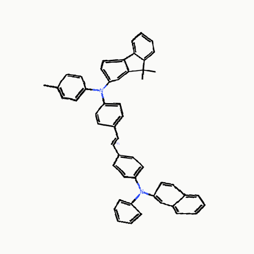 Cc1ccc(N(c2ccc(/C=C/c3ccc(N(c4ccccc4)c4ccc5ccccc5c4)cc3)cc2)c2ccc3c(c2)C(C)(C)c2ccccc2-3)cc1